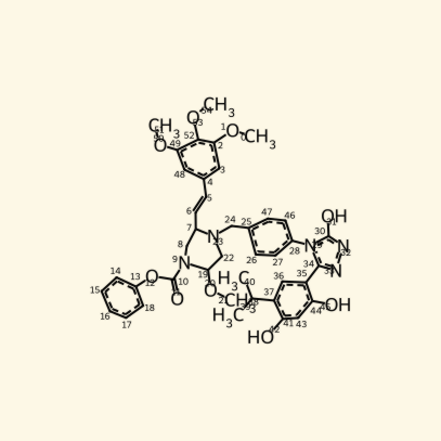 COc1cc(C=CC2CN(C(=O)Oc3ccccc3)C(OC)CN2Cc2ccc(-n3c(O)nnc3-c3cc(C(C)C)c(O)cc3O)cc2)cc(OC)c1OC